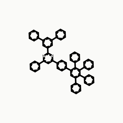 c1ccc(-c2cc(-c3ccccc3)cc(-c3nc(-c4ccccc4)cc(-c4ccc(-c5cc(-c6ccccc6)c(-c6ccccc6)c(-c6ccccc6)c5-c5ccccc5)cc4)n3)c2)cc1